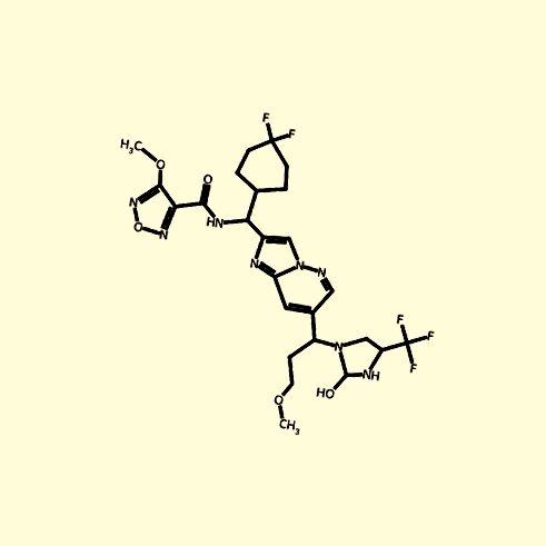 COCCC(c1cnn2cc(C(NC(=O)c3nonc3OC)C3CCC(F)(F)CC3)nc2c1)N1CC(C(F)(F)F)NC1O